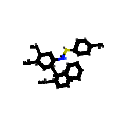 COc1cc(NSc2ccc(C)cc2)c(-c2c(NC(C)=O)ccc3ccccc23)cc1OC